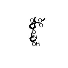 CCOC(=O)c1c(C)oc2ccc(OCc3ccc(O)cn3)cc12